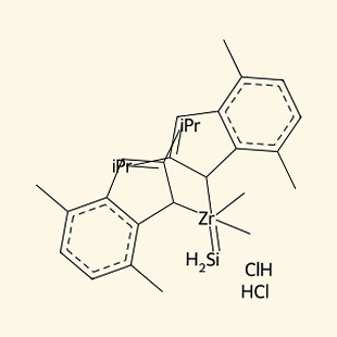 Cc1ccc(C)c2c1C=C(C(C)C)[CH]2[Zr]([CH3])([CH3])(=[SiH2])[CH]1C(C(C)C)=Cc2c(C)ccc(C)c21.Cl.Cl